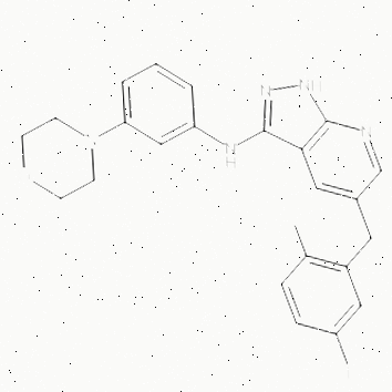 Fc1ccc(F)c(Cc2cnc3[nH]nc(Nc4cccc(N5CCOCC5)c4)c3c2)c1